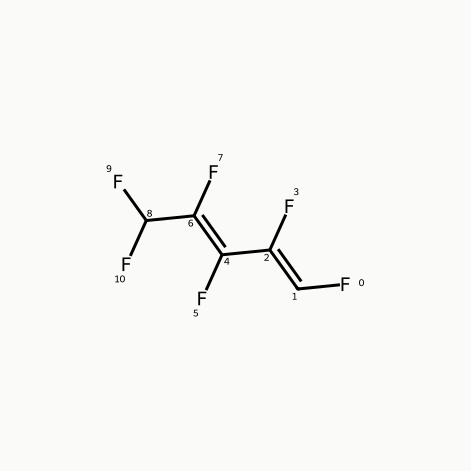 F/C=C(F)/C(F)=C(\F)C(F)F